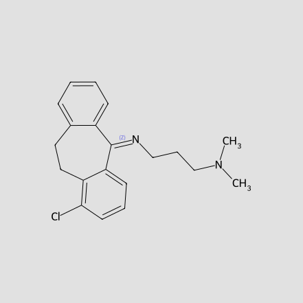 CN(C)CCC/N=C1/c2ccccc2CCc2c(Cl)cccc21